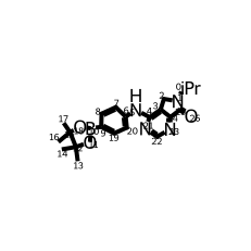 CC(C)N1Cc2c(Nc3ccc(B4OC(C)(C)C(C)(C)O4)cc3)ncnc2C1=O